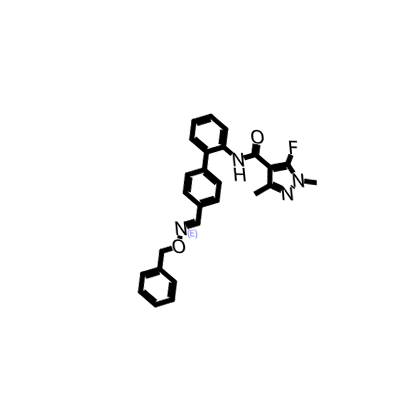 Cc1nn(C)c(F)c1C(=O)Nc1ccccc1-c1ccc(/C=N/OCc2ccccc2)cc1